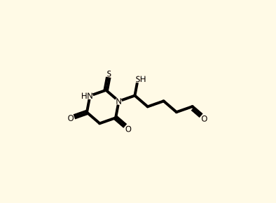 O=CCCCC(S)N1C(=O)CC(=O)NC1=S